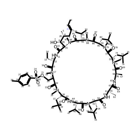 C/C=C/C[C@@H](C)[C@@H](O)[C@H]1C(=O)N[C@@H](CC)C(=O)N(C)C(COS(=O)(=O)c2ccc(C)cc2)C(=O)N(C)[C@@H](CC(C)(C)C)C(=O)N[C@@H](C(C)C)C(=O)N(C)[C@@H](CC(C)C)C(=O)N[C@@H](C)C(=O)N[C@H](C)C(=O)N(C)[C@@H](CC(C)C)C(=O)N(C)[C@@H](CC(C)C)C(=O)N(C)[C@@H](C(C)C)C(=O)N1C